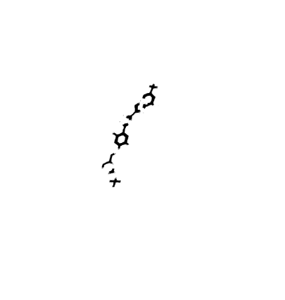 CC(C)(C)OC(=O)NC(CO)COc1cc(Cl)c(-c2nnc(-c3cn4cc(C(F)(F)F)cc(Cl)c4n3)s2)cc1F